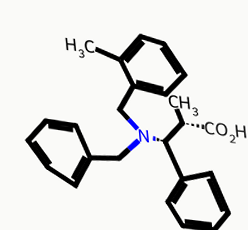 Cc1ccccc1CN(Cc1ccccc1)[C@@H](c1ccccc1)[C@H](C)C(=O)O